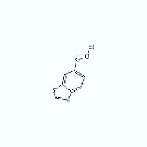 CCOSc1ccc2ncsc2c1